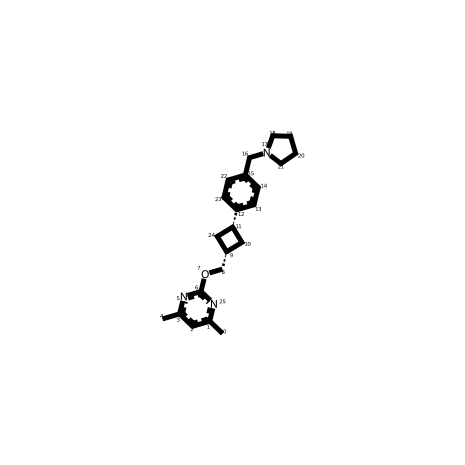 Cc1cc(C)nc(OC[C@H]2C[C@@H](c3ccc(CN4CCCC4)cc3)C2)n1